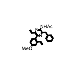 C=Cc1cc(OC)ccc1-c1nc(Cc2ccccc2)c(NC(C)=O)nc1C=C